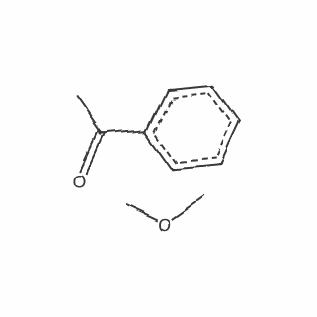 CC(=O)c1ccccc1.COC